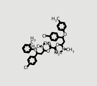 Cc1ccc(OC(CC(OC(=O)C(=O)OC(CC(Oc2ccccc2C)c2ccc(Cl)cc2)N(C)C)N(C)C)c2ccc(Cl)cc2)cc1